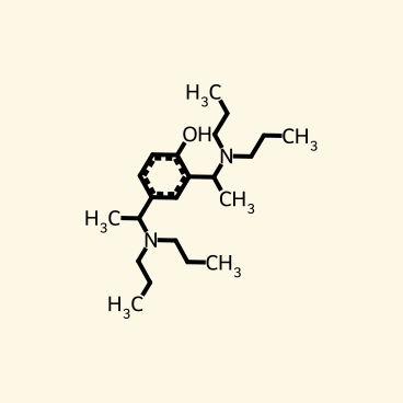 CCCN(CCC)C(C)c1ccc(O)c(C(C)N(CCC)CCC)c1